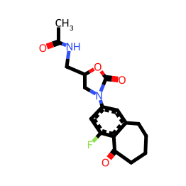 CC(=O)NCC1CN(c2cc(F)c3c(c2)CCCCC3=O)C(=O)O1